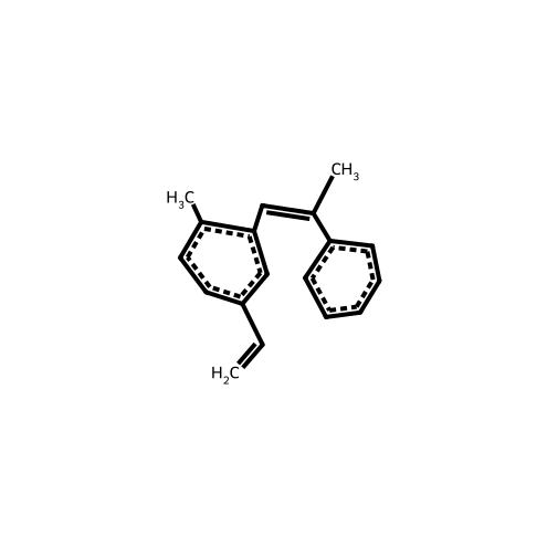 C=Cc1ccc(C)c(C=C(C)c2ccccc2)c1